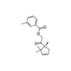 Cc1cccc(C(=O)OCC(=O)[C@]2(C)CC=CC2(C)C)c1